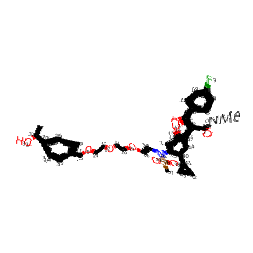 CNC(=O)c1c(-c2ccc(F)cc2)oc2cc(N(CCOCCOCCOCc3ccc(C(C)O)cc3)S(C)(=O)=O)c(C3CC3)cc12